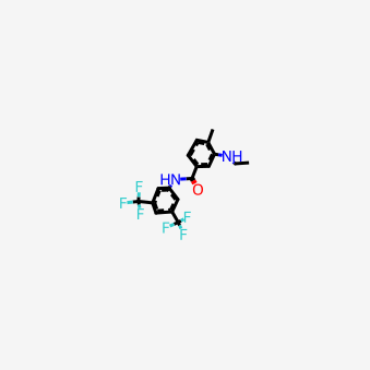 CCNc1cc(C(=O)Nc2cc(C(F)(F)F)cc(C(F)(F)F)c2)ccc1C